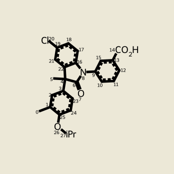 Cc1cc(C2(C)C(=O)N(c3cccc(C(=O)O)c3)c3ccc(Cl)cc32)ccc1OC(C)C